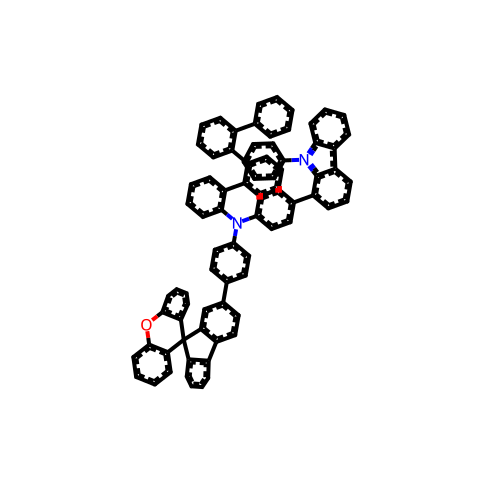 c1ccc(-c2ccccc2-c2ccccc2-c2ccccc2N(c2ccc(-c3ccc4c(c3)C3(c5ccccc5Oc5ccccc53)c3ccccc3-4)cc2)c2ccc(-c3cccc4c5ccccc5n(-c5ccccc5)c34)cc2)cc1